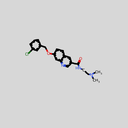 CN(C)CCNC(=O)c1cnc2cc(OCc3cccc(Cl)c3)ccc2c1